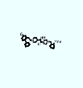 CSc1ccccc1CN1CCN(C(=O)[C@H](N)C2CCN(CCc3cc(Cl)ccc3-c3ccccc3)CC2)CC1